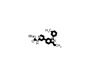 C=Cc1nn(-c2cccc(C)c2)c2cc(-c3ccnc(NC(=O)OC(C)(C)C)c3)ccc12